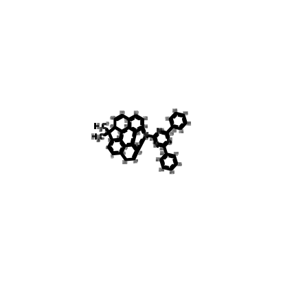 CC1(C)c2ccc3c4c2c2c5c(ccc6c5c4c(n6-c4nc(-c5ccccc5)nc(-c5ccccc5)n4)=CC3)C=CC21